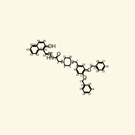 O=C(CN1CCN(Cc2ccc(OCc3ccccc3)c(OCc3ccccc3)c2)CC1)N/N=C/c1c(O)ccc2ccccc12